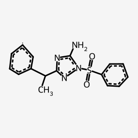 CC(c1c[c]ccc1)c1nc(N)n(S(=O)(=O)c2ccccc2)n1